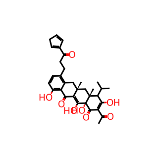 CC(=O)C1=C(O)C(C(C)C)[C@@]2(C)C[C@@]3(C)Cc4c(CCC(=O)C5=CCC=C5)ccc(O)c4C(=O)C3=C(O)[C@@]2(O)C1=O